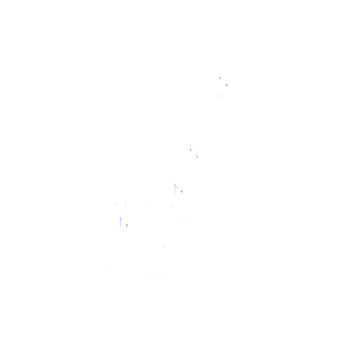 COc1ccccc1-c1noc(CF)c1C(=O)N1CCN(c2ccc([NH+]([O-])O)cc2Cl)CC1